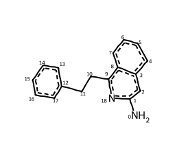 Nc1cc2ccccc2c(CCc2ccccc2)n1